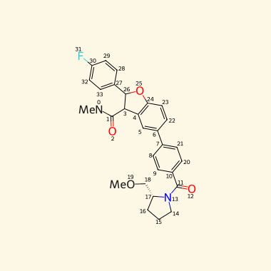 CNC(=O)C1c2cc(-c3ccc(C(=O)N4CCC[C@@H]4COC)cc3)ccc2OC1c1ccc(F)cc1